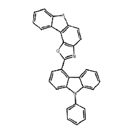 c1ccc(-n2c3ccccc3c3c(-c4nc5ccc6sc7ccccc7c6c5o4)cccc32)cc1